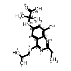 CCc1nc(OCC(O)O)c2cc(NC(C)(C)C(=O)O)cc(F)c2n1